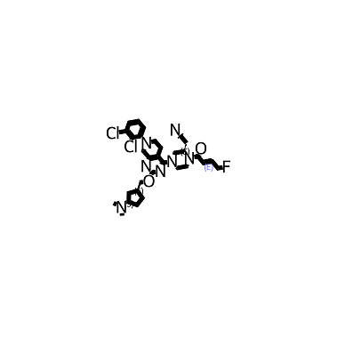 CN(C)[C@H]1CC[C@H](COc2nc3c(c(N4CCN(C(=O)/C=C/CF)[C@@H](CC#N)C4)n2)CCN(c2cccc(Cl)c2Cl)C3)C1